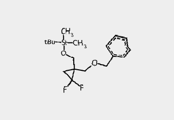 CC(C)(C)[Si](C)(C)OCC1(COCc2ccccc2)CC1(F)F